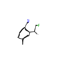 [CH2]C(CF)c1cc(C)ccc1C#N